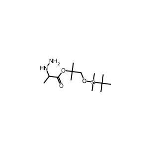 CC(NN)C(=O)OC(C)(C)CO[Si](C)(C)C(C)(C)C